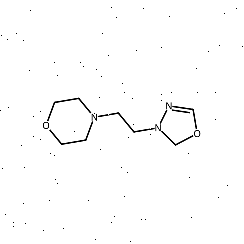 C1=NN(CCN2CCOCC2)CO1